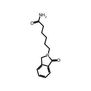 NC(=O)CCCCCN1Cc2ccccc2C1=O